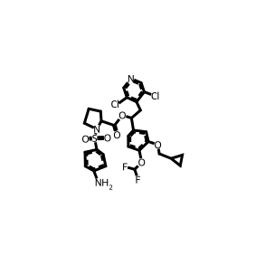 Nc1ccc(S(=O)(=O)N2CCCC2C(=O)OC(Cc2c(Cl)cncc2Cl)c2ccc(OC(F)F)c(OCC3CC3)c2)cc1